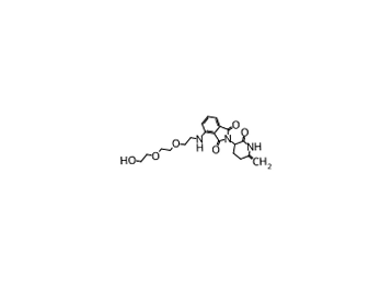 C=C1CCC(N2C(=O)c3cccc(NCCOCCOCCO)c3C2=O)C(=O)N1